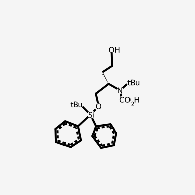 CC(C)(C)N(C(=O)O)[C@@H](CCO)CO[Si](c1ccccc1)(c1ccccc1)C(C)(C)C